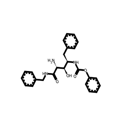 N[C@@H](C(=O)NCc1ccccc1)[C@H](O)[C@@H](Cc1ccccc1)NC(=O)Oc1ccccc1